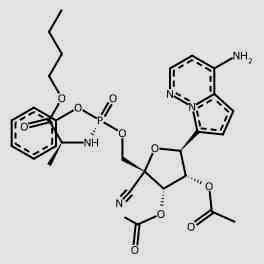 CCCCOC(=O)[C@H](C)N[P@](=O)(OC[C@@]1(C#N)O[C@@H](c2ccc3c(N)ccnn23)[C@H](OC(C)=O)[C@@H]1OC(C)=O)Oc1ccccc1